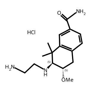 CO[C@H]1Cc2ccc(C(N)=O)cc2C(C)(C)[C@@H]1NCCN.Cl